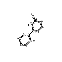 O=c1ncnc(-c2ccccn2)[nH]1